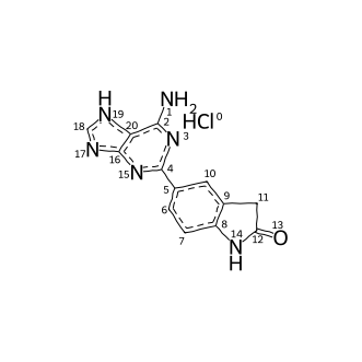 Cl.Nc1nc(-c2ccc3c(c2)CC(=O)N3)nc2nc[nH]c12